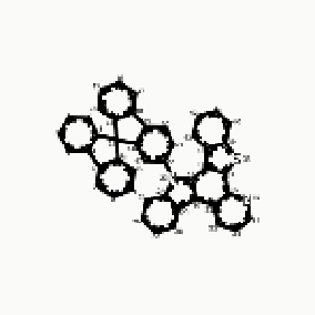 c1ccc2c(c1)-c1ccccc1C21c2ccccc2-c2ccc(-n3c4ccccc4c4c5cccnc5c5sc6ccccc6c5c43)cc21